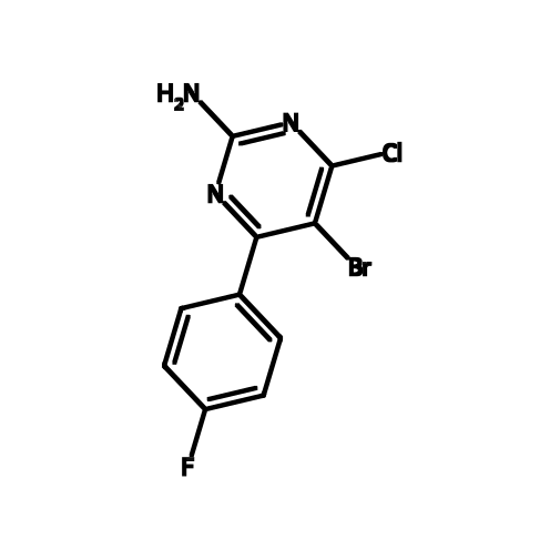 Nc1nc(Cl)c(Br)c(-c2ccc(F)cc2)n1